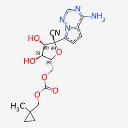 CC1(COC(=O)OC[C@H]2O[C@@](C#N)(c3ccc4c(N)ncnn34)[C@H](O)[C@@H]2O)CC1